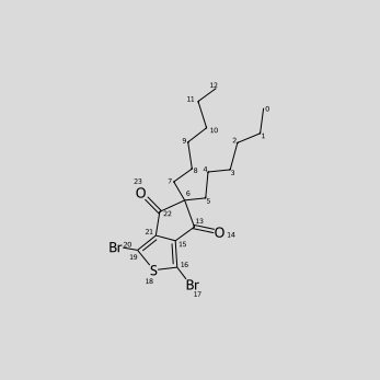 CCCCCCC1(CCCCCC)C(=O)c2c(Br)sc(Br)c2C1=O